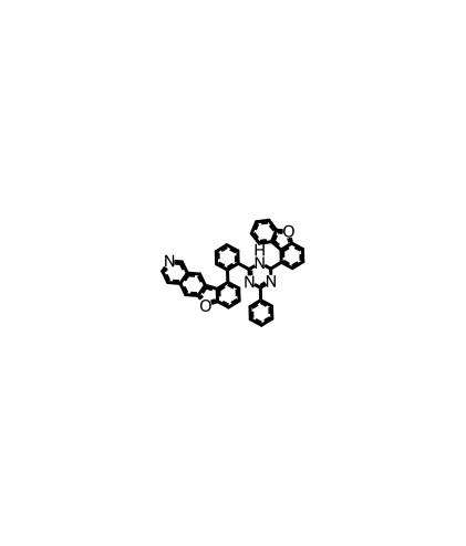 c1ccc(C2=NC(c3cccc4oc5ccccc5c34)NC(c3ccccc3-c3cccc4oc5cc6ccncc6cc5c34)=N2)cc1